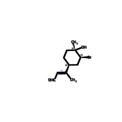 C/C(=C\C=O)[C@H]1CC[C@@](C)(O)[C@@H](Br)C1